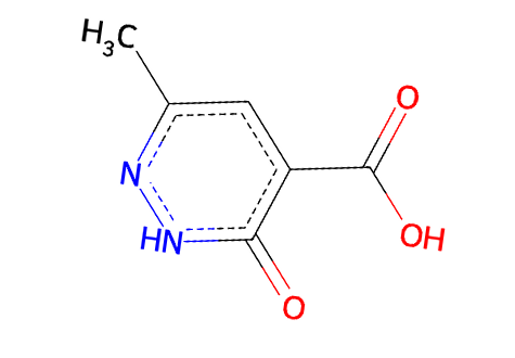 Cc1cc(C(=O)O)c(=O)[nH]n1